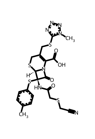 Cc1ccc(S[C@@]2(NC(=O)CSCC#N)C(=O)N3C(C(=O)O)=C(CSc4nnnn4C)CS[C@@H]32)cc1